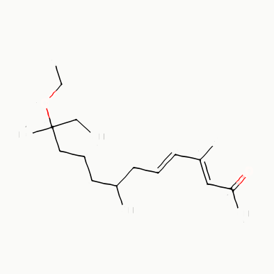 CCOC(C)(CC)CCCC(C)CC=CC(C)=CC(C)=O